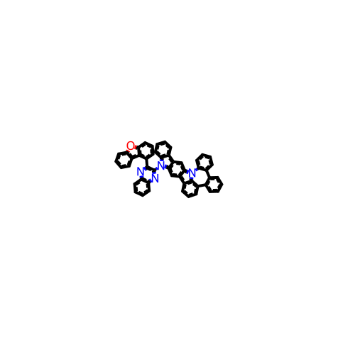 c1ccc2c(c1)-c1ccccc1-n1c3cc4c5ccccc5n(-c5nc6ccccc6nc5-c5cccc6oc7ccccc7c56)c4cc3c3cccc-2c31